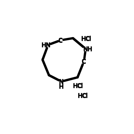 C1CNCCNCCN1.Cl.Cl.Cl